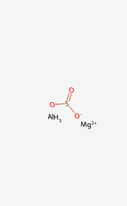 O=S([O-])[O-].[AlH3].[Mg+2]